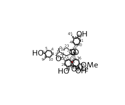 C=C1[C@@H](c2ccc(O)c(C)c2)O[C@@H](c2ccc(OC)c(O)c2)[C@@]12CC[C@@]13O[C@]1(C2)[C@@H](c1ccc(O)c(OC)c1)O[C@H]3c1ccc(O)c(C)c1